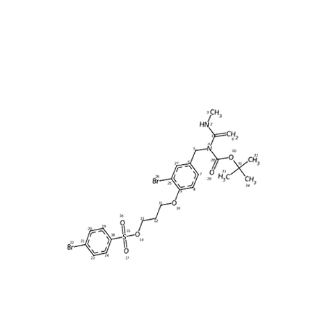 C=C(NC)N(Cc1ccc(OCCCOS(=O)(=O)c2ccc(Br)cc2)c(Br)c1)C(=O)OC(C)(C)C